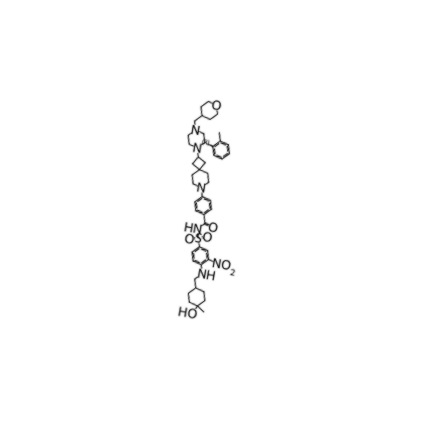 Cc1ccccc1[C@@H]1CN(CC2CCOCC2)CCN1C1CC2(CCN(c3ccc(C(=O)NS(=O)(=O)c4ccc(NCC5CCC(C)(O)CC5)c([N+](=O)[O-])c4)cc3)CC2)C1